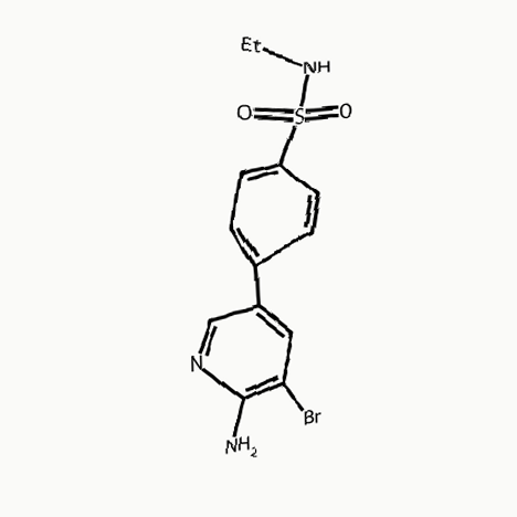 CCNS(=O)(=O)c1ccc(-c2cnc(N)c(Br)c2)cc1